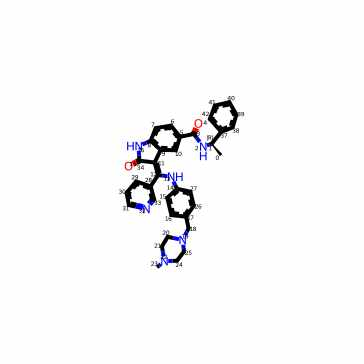 C[C@@H](NC(=O)c1ccc2c(c1)C(=C(Nc1ccc(CN3CCN(C)CC3)cc1)c1cccnc1)C(=O)N2)c1ccccc1